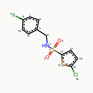 O=S(=O)(NCc1ccc(F)cc1)c1ccc(Cl)s1